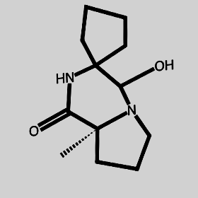 C[C@@]12CCCN1C(O)C1(CCCC1)NC2=O